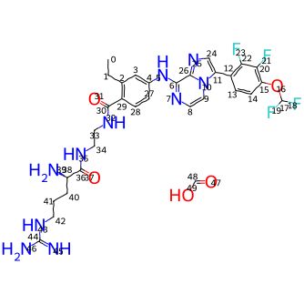 CCc1cc(Nc2nccn3c(-c4ccc(OC(F)F)c(F)c4F)cnc23)ccc1C(=O)NCCNC(=O)[C@H](N)CCCNC(=N)N.O=CO